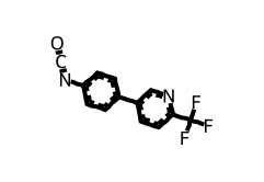 O=C=Nc1ccc(-c2ccc(C(F)(F)F)nc2)cc1